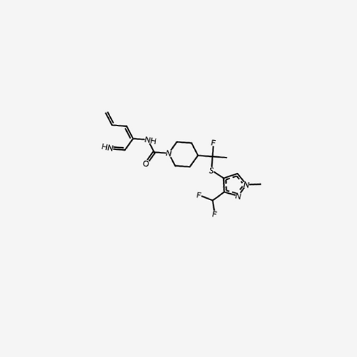 C=C/C=C(\C=N)NC(=O)N1CCC(C(C)(F)Sc2cn(C)nc2C(F)F)CC1